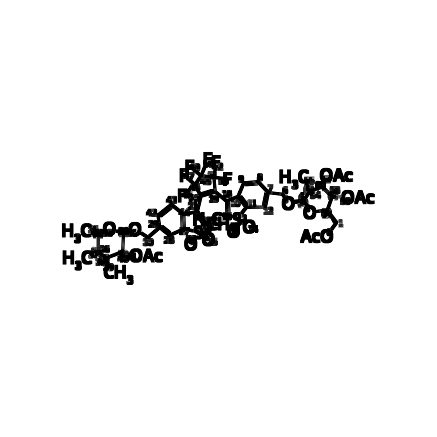 CC(=O)OC[C@H]1O[C@@H](OCc2ccc3c(c2)S(=O)(=O)C(C)=C3C2=C(C3=C(C)S(=O)(=O)c4cc(CO[C@@H]5O[C@H](C)[C@@H](C)[C@H](C)[C@H]5OC(C)=O)ccc43)C(F)(F)C(F)(F)C2(F)F)[C@H](C)[C@@H](OC(C)=O)[C@@H]1OC(C)=O